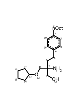 CCCCCCCCc1ccc(CCC(N)(CO)COC2CCCC2)cc1